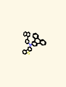 c1cc(-c2cccc3ccccc23)cc(N(c2ccc3sc4ccccc4c3c2)c2ccc3c4ccccc4c4ccccc4c3c2)c1